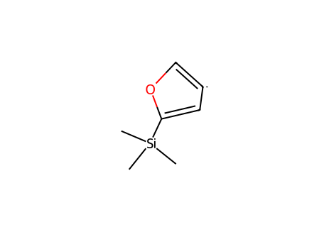 C[Si](C)(C)c1c[c]co1